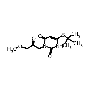 COCC(=O)Cn1c(=O)cc(SC(C)(C)C)[nH]c1=O